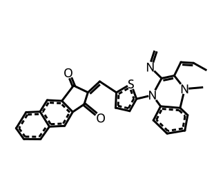 C=NC1=C(/C=C\C)N(C)c2ccccc2N1c1ccc(C=C2C(=O)c3cc4ccccc4cc3C2=O)s1